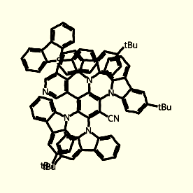 CC(C)(C)c1ccc2c(c1)c1ccccc1n2-c1c(C#N)c(-n2c3ccccc3c3cc(C(C)(C)C)ccc32)c(-n2c3ccccc3c3cc(C(C)(C)C)ccc32)c(-c2cncc3c2-c2ccccc2[Si]32c3ccccc3-c3ccccc32)c1-n1c2ccccc2c2cc(C(C)(C)C)ccc21